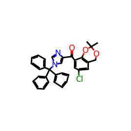 CC1(C)OCc2cc(Cl)cc(C(=O)c3cn(C(c4ccccc4)(c4ccccc4)c4ccccc4)cn3)c2O1